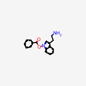 NCCc1cn(OC(=O)c2ccccc2)c2ccccc12